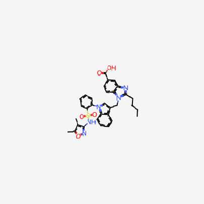 CCCCc1nc2cc(C(=O)O)ccc2n1Cc1cn(-c2ccccc2S(=O)(=O)Nc2noc(C)c2C)c2ccccc12